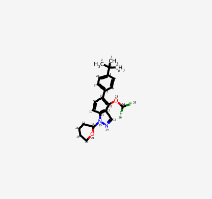 CC(C)(C)c1ccc(-c2ccc3c(cnn3C3CCCCO3)c2OC(F)F)cc1